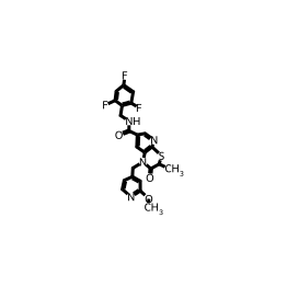 COc1cc(CN2C(=O)C(C)Sc3ncc(C(=O)NCc4c(F)cc(F)cc4F)cc32)ccn1